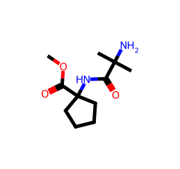 COC(=O)C1(NC(=O)C(C)(C)N)CCCC1